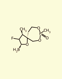 B[C@@H]1O[C@@]2(CCOP(C)(=O)OC2)[C@H](C)C1F